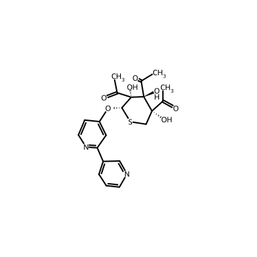 CC(=O)[C@]1(O)[C@@](O)(C(C)=O)CS[C@H](Oc2ccnc(-c3cccnc3)c2)[C@@]1(O)C(C)=O